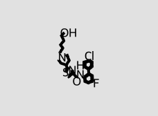 O=C(Nc1ccc(F)cc1-c1ccc(Cl)cc1)c1csc(C2CCN(CCCCCO)CC2)n1